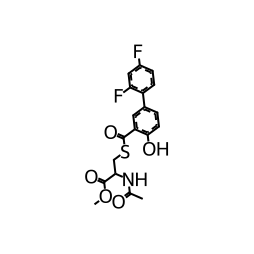 COC(=O)C(CSC(=O)c1cc(-c2ccc(F)cc2F)ccc1O)NC(C)=O